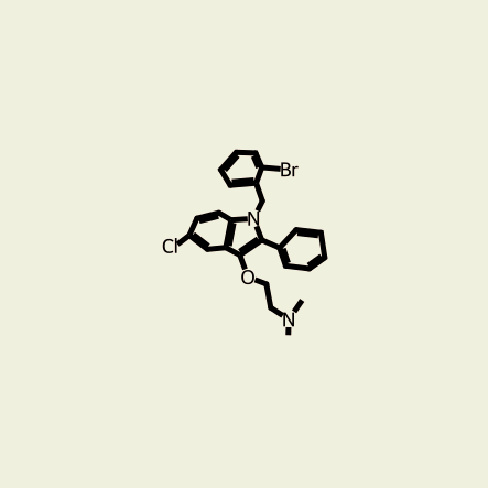 CN(C)CCOc1c(-c2ccccc2)n(Cc2ccccc2Br)c2ccc(Cl)cc12